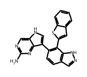 Nc1ncc2[nH]cc(-c3ccc4cn[nH]c4c3-c3cc4ccccc4s3)c2n1